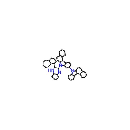 C1=CCc2c(cccc2C2Nc3ccccc3N=C2n2c3cc(-n4c5ccccc5c5c6ccccc6ccc54)ccc3c3c4ccccc4ccc32)C=C1